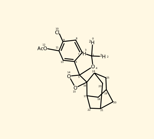 [2H]C([2H])([2H])OC1(c2ccc(Cl)c(OC(C)=O)c2)OOC12C1CC3CC(C1)CC2C3